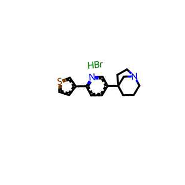 Br.c1cc(-c2ccc(C34CCCN(CC3)C4)cn2)cs1